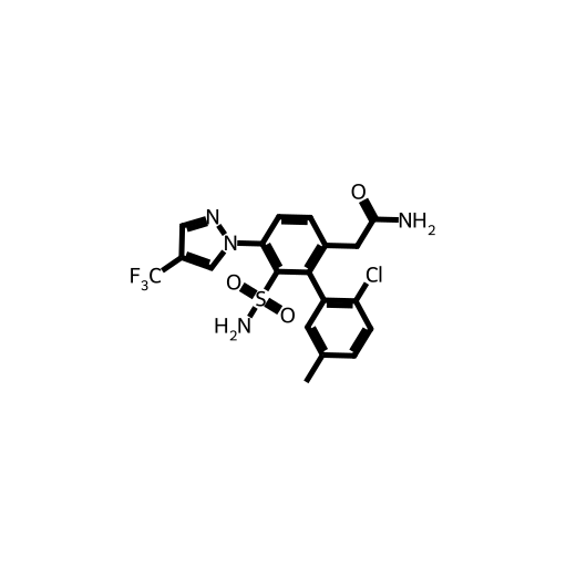 Cc1ccc(Cl)c(-c2c(CC(N)=O)ccc(-n3cc(C(F)(F)F)cn3)c2S(N)(=O)=O)c1